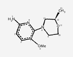 COc1ccc(N)nc1N1CCO[C@H](C)C1